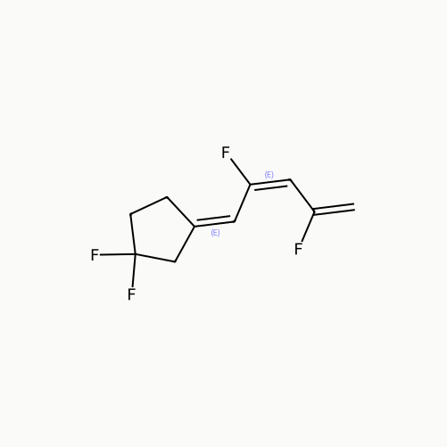 C=C(F)/C=C(F)\C=C1/CCC(F)(F)C1